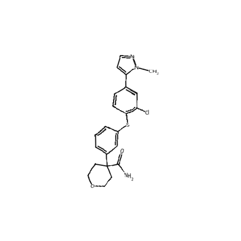 Cn1nccc1-c1ccc(Sc2cccc(C3(C(N)=O)CCOCC3)c2)c(Cl)c1